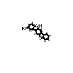 Brc1ccc2[nH]c3cc4c(cc3c2c1)oc1ccccc14